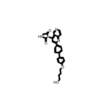 O=C1CNC(=O)N1c1cc(-c2ccc(-c3ccc(OCCCCO)cc3)cc2)nc2ccncc12